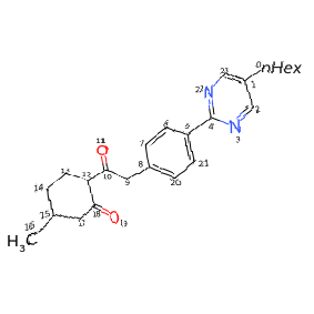 CCCCCCc1cnc(-c2ccc(CC(=O)C3CCC(C)CC3=O)cc2)nc1